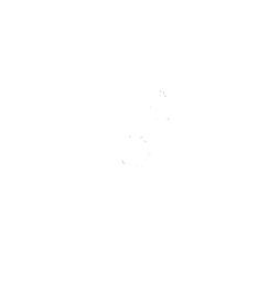 Cc1ccc(-c2cnoc2)cc1Cl